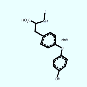 O=C(O)C(Cc1ccc(Oc2ccc(O)cc2)cc1)NI.[NaH]